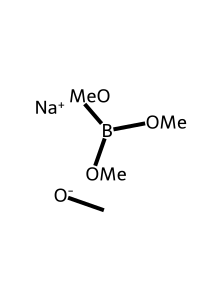 COB(OC)OC.C[O-].[Na+]